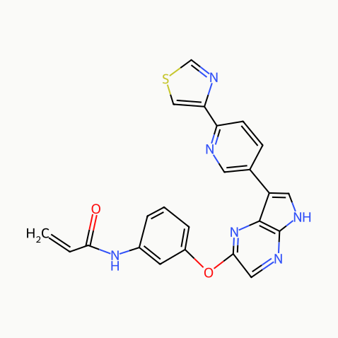 C=CC(=O)Nc1cccc(Oc2cnc3[nH]cc(-c4ccc(-c5cscn5)nc4)c3n2)c1